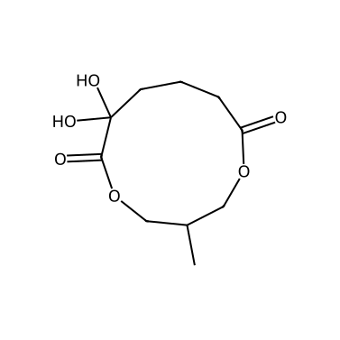 CC1COC(=O)CCCC(O)(O)C(=O)OC1